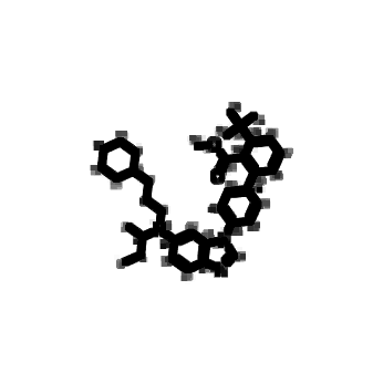 CCC(C)N(CCCC1CCCCC1)c1ccc2ncn(-c3ccc(-c4cccc(C(C)(C)C)c4C(=O)OC)cc3)c2c1